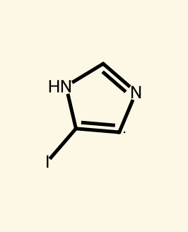 Ic1[c]nc[nH]1